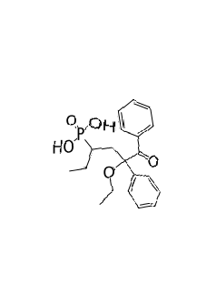 CCOC(CC(CC)P(=O)(O)O)(C(=O)c1ccccc1)c1ccccc1